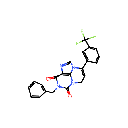 O=c1c2ncn3c2n(c(=O)n1Cc1ccccc1)CC=C3c1cccc(C(F)(F)F)c1